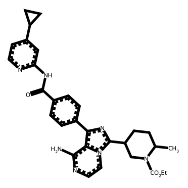 CCOC(=O)N1CC(c2nc(-c3ccc(C(=O)Nc4cc(C5CC5)ccn4)cc3)c3c(N)nccn23)CCC1C